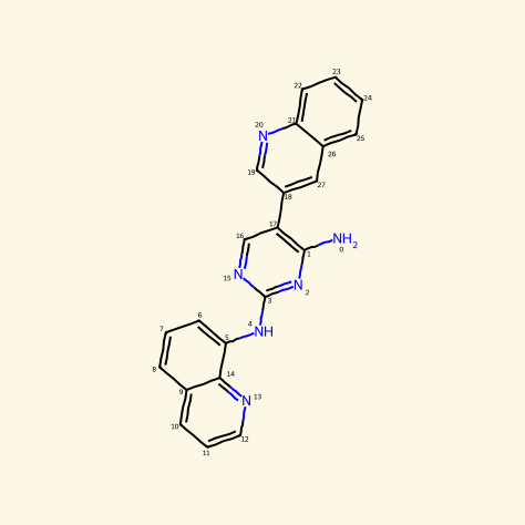 Nc1nc(Nc2cccc3cccnc23)ncc1-c1cnc2ccccc2c1